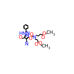 CCOC(=O)CCCN(CCC(=O)OCC)C(=O)Oc1c(C#N)c(C=O)c2[nH]c(-c3ccccc3)nn12